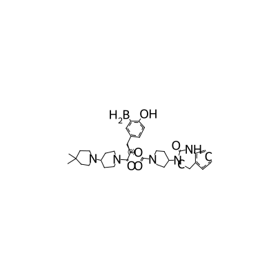 Bc1cc(C[C@@H](OC(=O)N2CCC(N3CCc4ccccc4NC3=O)CC2)C(=O)N2CCC(N3CCC(C)(C)CC3)CC2)ccc1O